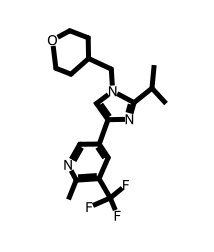 Cc1ncc(-c2cn(CC3CCOCC3)c(C(C)C)n2)cc1C(F)(F)F